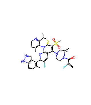 C=C(F)C(=O)N1CCN(c2c(S(C)(=O)=O)c(=S)n(-c3c(C)ccnc3C(C)C)c3nc(-c4c(C)ccc5[nH]ncc45)c(F)cc23)C[C@H]1C